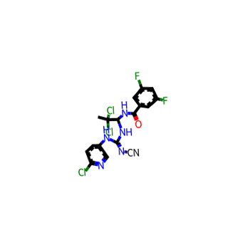 CC(Cl)(Cl)C(NC(=O)c1cc(F)cc(F)c1)N/C(=N\C#N)Nc1ccc(Cl)nc1